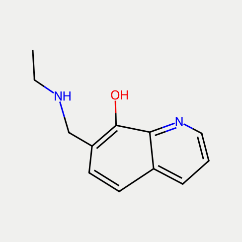 CCNCc1ccc2cccnc2c1O